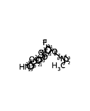 C[C@@H]1CCCN1CCCOc1cc(F)cc(S(=O)(=O)c2ccc3c(c2)OC2CNCCC32)c1